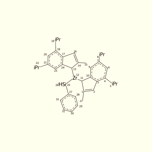 CC1=Cc2c(C(C)C)cc(C(C)C)cc2[CH]1[Zr]([CH]1C(C)=Cc2c(C(C)C)cc(C(C)C)cc21)[SiH](C)c1ccccc1